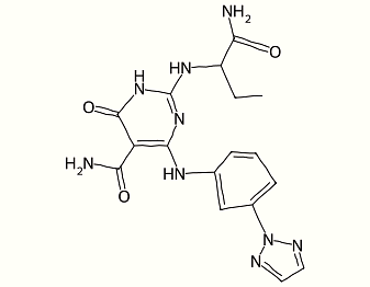 CCC(Nc1nc(Nc2cccc(-n3nccn3)c2)c(C(N)=O)c(=O)[nH]1)C(N)=O